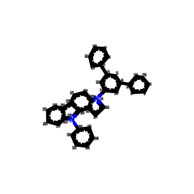 c1ccc(-c2cc(-c3ccccc3)cc(-n3ccc4c3ccc3c5ccccc5n(-c5ccccc5)c34)c2)cc1